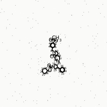 CS(=O)(=O)c1ccc(CN2CCC3(CCN(C[C@H]4CN(C(=O)OC5CCCCC5)CC4c4ccccc4)CC3)C2=O)cc1